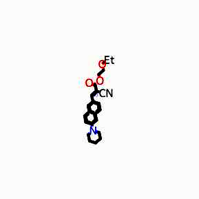 CCOCCOC(=O)/C(C#N)=C/c1ccc2cc(N3CCCCC3)ccc2c1